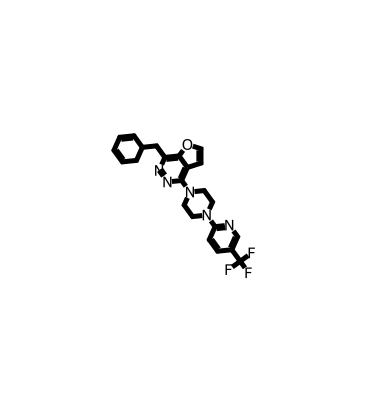 FC(F)(F)c1ccc(N2CCN(c3nnc(CC4C=CC=CC4)c4occc34)CC2)nc1